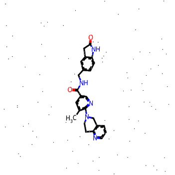 Cc1cc(C(=O)NCc2ccc3c(c2)CC(=O)N3)cnc1N1CCc2ncccc2C1